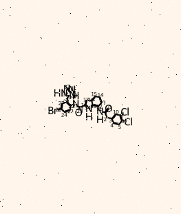 O=C(Cc1ccc(Cl)c(Cl)c1)Nc1cccc2cc(C(=O)Nc3ccc(Br)cc3-c3nnn[nH]3)[nH]c12